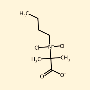 CCCC[N+](Cl)(Cl)C(C)(C)C(=O)[O-]